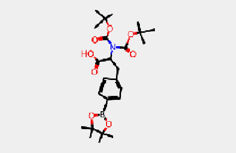 CC(C)(C)OC(=O)N(C(=O)OC(C)(C)C)C(Cc1ccc(B2OC(C)(C)C(C)(C)O2)cc1)C(=O)O